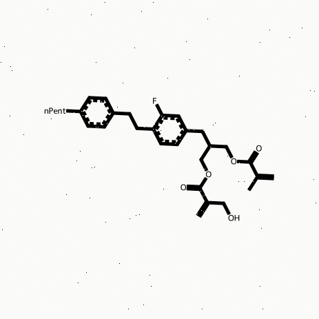 C=C(C)C(=O)OCC(COC(=O)C(=C)CO)Cc1ccc(CCc2ccc(CCCCC)cc2)c(F)c1